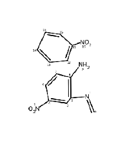 C=Nc1cc([N+](=O)[O-])ccc1N.O=[N+]([O-])c1ccccc1